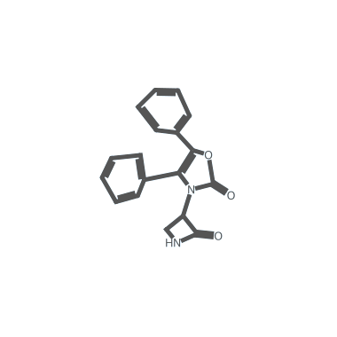 O=C1NCC1n1c(-c2ccccc2)c(-c2ccccc2)oc1=O